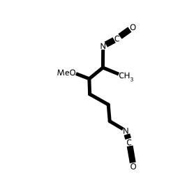 COC(CCCN=C=O)C(C)N=C=O